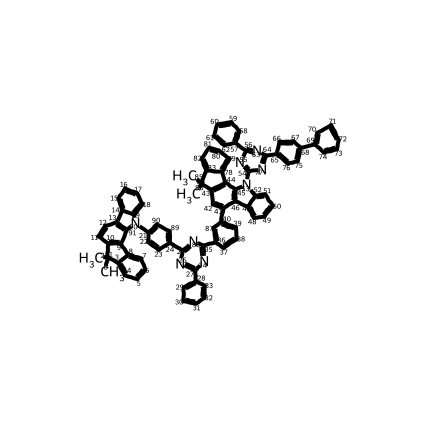 CC1(C)c2ccccc2-c2c1ccc1c3ccccc3n(-c3ccc(-c4nc(-c5ccccc5)nc(-c5cccc(-c6cc7c(c8c6c6ccccc6n8-c6nc(-c8ccccc8)nc(-c8ccc(-c9ccccc9)cc8)n6)-c6ccccc6C7(C)C)c5)n4)cc3)c21